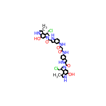 Cc1c[nH]c2c(O)cc3c(c12)[C@H](CCl)CN3C(=O)c1cc2cc(NC(=O)CC(=O)Nc3ccc4[nH]c(C(=O)N5C[C@H](CCl)c6c5cc(O)c5[nH]cc(C)c65)cc4c3)ccc2[nH]1